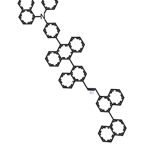 C(=C\c1ccc(-c2c3ccccc3c(-c3ccc(N(c4ccccc4)c4cccc5ccccc45)cc3)c3ccccc23)c2ccccc12)/c1ccc(-c2cccc3ccccc23)c2ccccc12